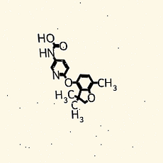 Cc1ccc(Oc2ccc(NC(=O)O)cn2)c2c1OCC2(C)C